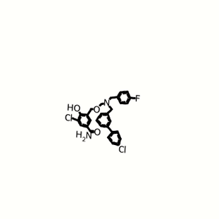 NC(=O)c1cc(Cl)c(O)c(COCN(Cc2ccc(F)cc2)Cc2cccc(-c3ccc(Cl)cc3)c2)c1